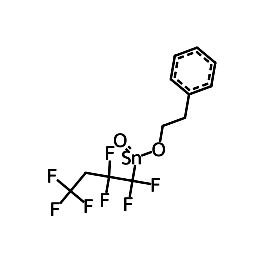 [O]=[Sn]([O]CCc1ccccc1)[C](F)(F)C(F)(F)CC(F)(F)F